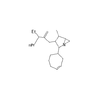 C=C(CC1C(C)C2CN2C1C1CC=CCCC1)C(CC)CCC